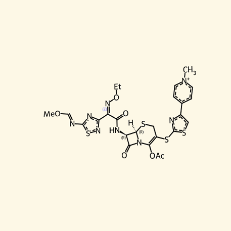 CCO/N=C(\C(=O)N[C@@H]1C(=O)N2C(OC(C)=O)=C(Sc3nc(-c4cc[n+](C)cc4)cs3)CS[C@H]12)c1nsc(N=COC)n1